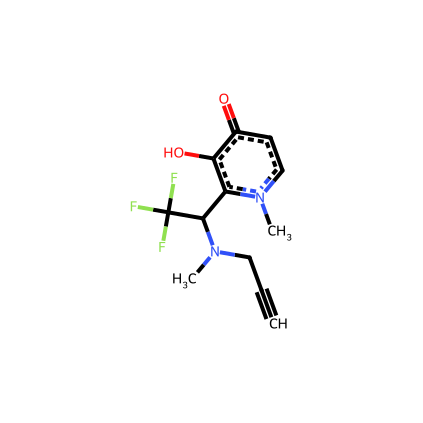 C#CCN(C)C(c1c(O)c(=O)ccn1C)C(F)(F)F